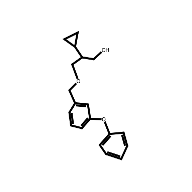 OCC(COCc1cccc(Oc2ccccc2)c1)C1CC1